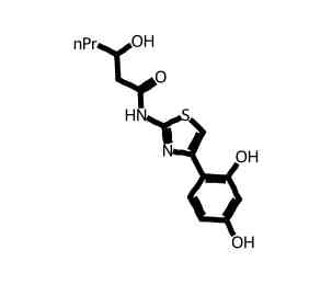 CCCC(O)CC(=O)Nc1nc(-c2ccc(O)cc2O)cs1